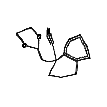 N#CC1(CC2OCCO2)CCCc2ccccc21